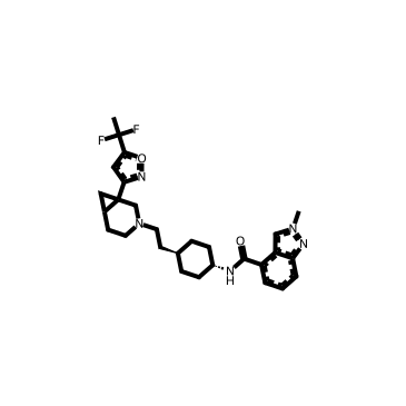 Cn1cc2c(C(=O)N[C@H]3CC[C@H](CCN4CCC5CC5(c5cc(C(C)(F)F)on5)C4)CC3)cccc2n1